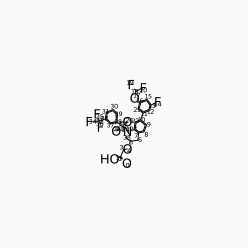 O=C(O)COC1Cc2ccc(-c3cc(F)cc(OC(F)F)c3)cc2N(S(=O)(=O)c2cccc(C(F)(F)F)c2)C1